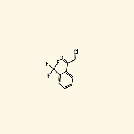 O=C(CCl)c1ccccc1C(F)(F)F